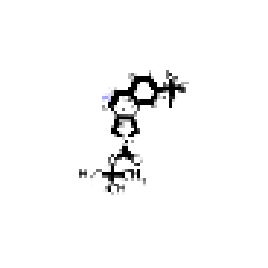 CC(C)(C)OC(=O)N1CC[C@H](/C=C\c2ccc(C(F)(F)F)cc2)C1